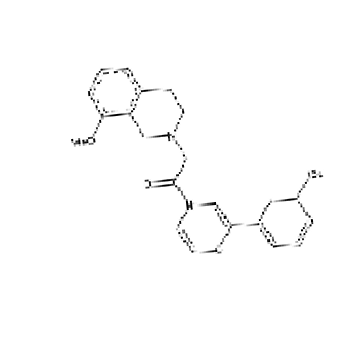 COc1cccc2c1CN(CC(=O)N1C=COC(C3=CC=CC(C(C)(C)C)C3)=C1)CC2